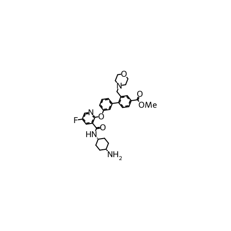 COC(=O)c1ccc(-c2cccc(Oc3ncc(F)cc3C(=O)N[C@H]3CC[C@H](N)CC3)c2)c(CN2CCOCC2)c1